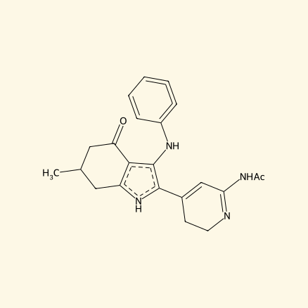 CC(=O)NC1=NCCC(c2[nH]c3c(c2NC2=C=C=CC=C2)C(=O)CC(C)C3)=C1